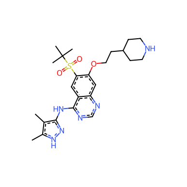 Cc1[nH]nc(Nc2ncnc3cc(OCCC4CCNCC4)c(S(=O)(=O)C(C)(C)C)cc23)c1C